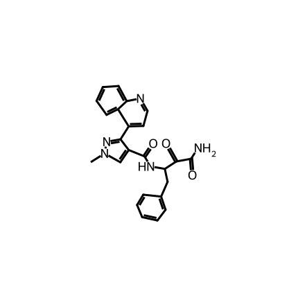 Cn1cc(C(=O)NC(Cc2ccccc2)C(=O)C(N)=O)c(-c2ccnc3ccccc23)n1